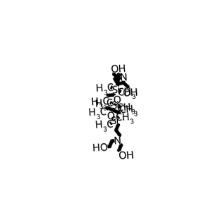 CCC(O[Si](C)(C)C(CC)(CC)O[Si](C)(C)CCCN(CCO)CCO)[Si](C)(C)C12CCN(C1CO)C2CO